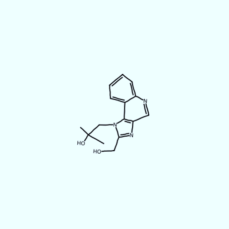 CC(C)(O)Cn1c(CO)nc2cnc3ccccc3c21